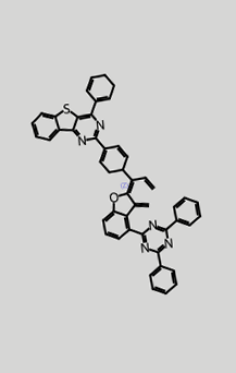 C=C/C(=c1/oc2cccc(-c3nc(-c4ccccc4)nc(-c4ccccc4)n3)c2c1=C)C1C=CC(c2nc(C3=CCCC=C3)c3sc4ccccc4c3n2)=CC1